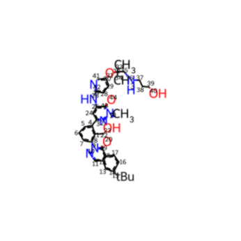 Cn1nc(-c2cccc(-n3ncc4cc(C(C)(C)C)ccc4c3=O)c2CO)cc(Nc2ccc(OC(C)(C)CNCCCO)cn2)c1=O